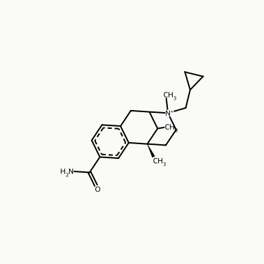 CC1C2Cc3ccc(C(N)=O)cc3[C@@]1(C)CC[N+]2(C)CC1CC1